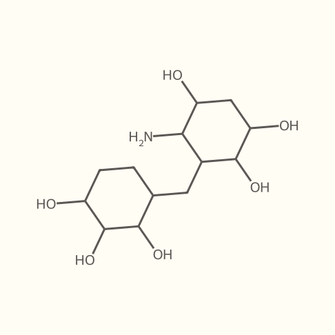 NC1C(O)CC(O)C(O)C1CC1CCC(O)C(O)C1O